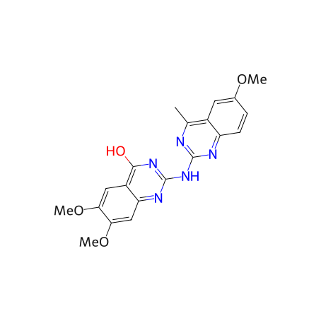 COc1ccc2nc(Nc3nc(O)c4cc(OC)c(OC)cc4n3)nc(C)c2c1